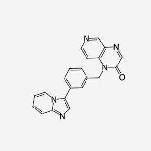 O=c1cnc2cnccc2n1Cc1cccc(-c2cnc3ccccn23)c1